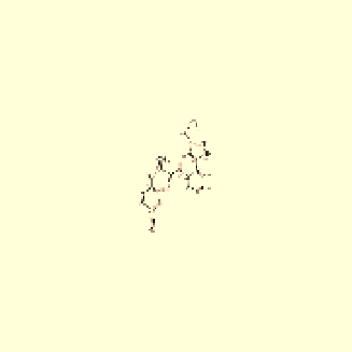 C=C(Oc1ccc(C#N)cc1)C(=O)Nc1ccccc1-c1nc(CC)n[nH]1